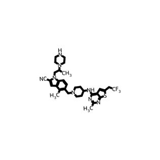 Cc1nc(NC2CCN(Cc3ccc4c(cc(C#N)n4CC(C)N4CCNCC4)c3C)CC2)c2cc(CC(F)(F)F)sc2n1